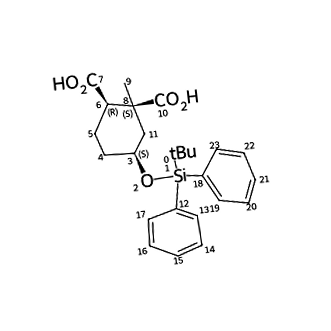 CC(C)(C)[Si](O[C@H]1CC[C@@H](C(=O)O)[C@@](C)(C(=O)O)C1)(c1ccccc1)c1ccccc1